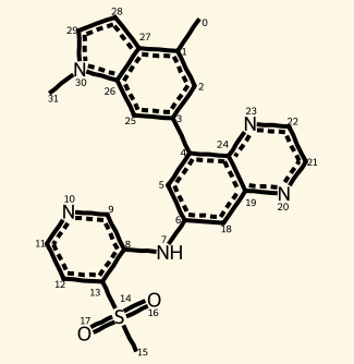 Cc1cc(-c2cc(Nc3cnccc3S(C)(=O)=O)cc3nccnc23)cc2c1ccn2C